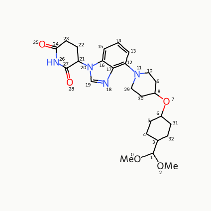 COC(OC)C1CCC(OC2CCN(c3cccc4c3ncn4C3CCC(=O)NC3=O)CC2)CC1